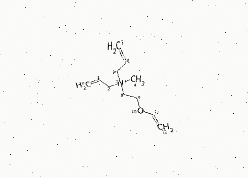 C=CC[N+](C)(CC=C)CCOC=C